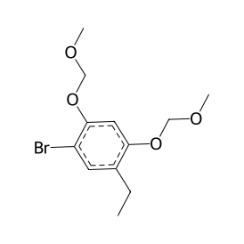 CCc1cc(Br)c(OCOC)cc1OCOC